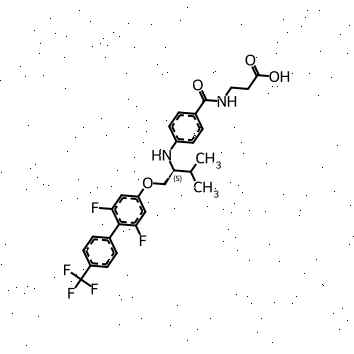 CC(C)[C@@H](COc1cc(F)c(-c2ccc(C(F)(F)F)cc2)c(F)c1)Nc1ccc(C(=O)NCCC(=O)O)cc1